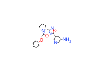 Nc1cncc(-c2nc(C3CCCCN3C(=O)COc3ccccc3)no2)c1